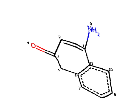 NC1=CC(=O)Cc2ccccc21